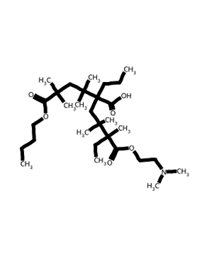 CCCCOC(=O)C(C)(C)CC(C)(C)C(CCC)(CC(C)(C)C(C)(CC)C(=O)OCCN(C)C)C(=O)O